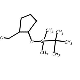 CC(C)(C)[Si](C)(C)OC1CCCC1CO